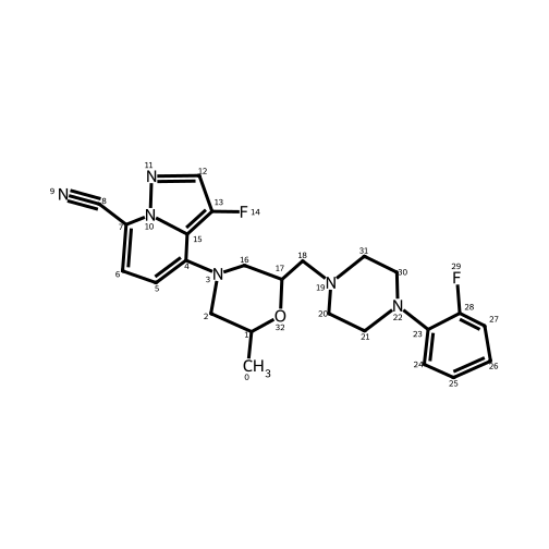 CC1CN(c2ccc(C#N)n3ncc(F)c23)CC(CN2CCN(c3ccccc3F)CC2)O1